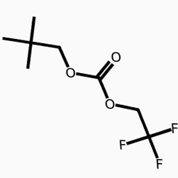 CC(C)(C)COC(=O)OCC(F)(F)F